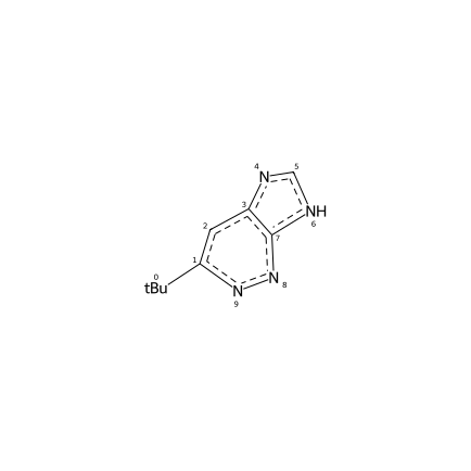 CC(C)(C)c1cc2nc[nH]c2nn1